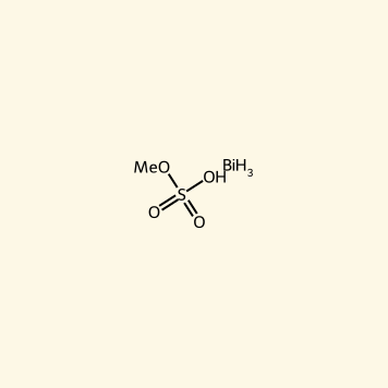 COS(=O)(=O)O.[BiH3]